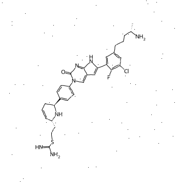 C[C@H](N)CCCc1cc(Cl)c(F)c(-c2cc3cn(-c4ccc([C@@H]5CC=C[C@@H](CCSC(=N)N)N5)cc4)c(=O)nc3[nH]2)c1